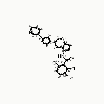 O=C(Nn1ccc2ncc(-c3coc(-c4cccnc4)c3)cc21)c1c(Cl)ccc(F)c1Cl